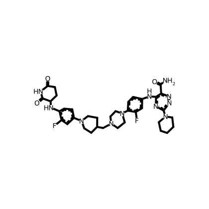 NC(=O)c1nnc(N2CCCCC2)nc1Nc1ccc(N2CCN(CC3CCN(c4ccc(NC5CCC(=O)NC5=O)c(F)c4)CC3)CC2)c(F)c1